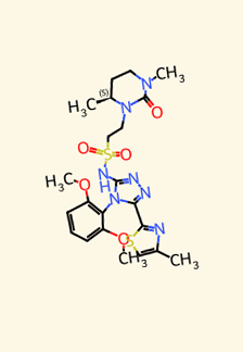 COc1cccc(OC)c1-n1c(NS(=O)(=O)CCN2C(=O)N(C)CC[C@@H]2C)nnc1-c1nc(C)cs1